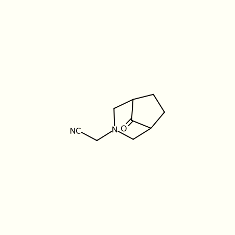 N#CCN1CC2CCC(C1)C2=O